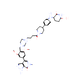 COc1cc(-c2cn(C)c(=O)c3[nH]ncc23)cc(OC)c1CN1CCN(CCCC(=O)N2CCC(c3ccc(NC4CCC(O)NC4=O)cc3)CC2)CC1